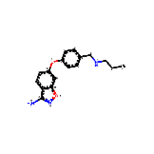 CC(C)(C)CCNCc1ccc(Oc2ccc3c(N)noc3c2)cc1